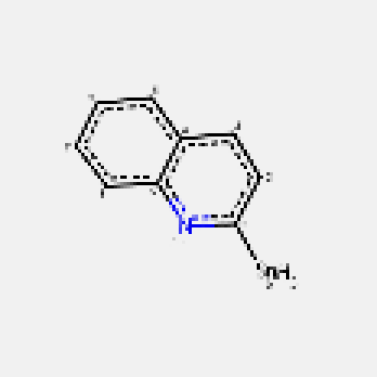 [SnH3][c]1ccc2ccccc2n1